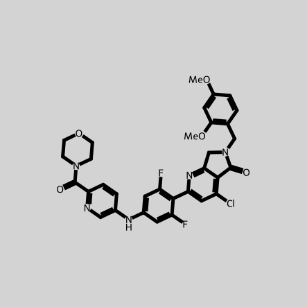 COc1ccc(CN2Cc3nc(-c4c(F)cc(Nc5ccc(C(=O)N6CCOCC6)nc5)cc4F)cc(Cl)c3C2=O)c(OC)c1